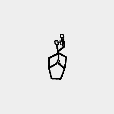 CC1CC2CCC(C1)N2CC=O